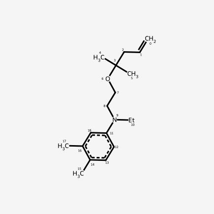 C=CCC(C)(C)OCCN(CC)c1ccc(C)c(C)c1